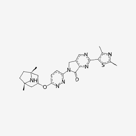 Cc1nc(C)c(-c2ncc3c(n2)C(=O)N(c2ccc(OC4C[C@]5(C)CC[C@](C)(C4)N5)nn2)C3)s1